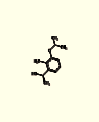 Bc1c(OC(C)C)cccc1[C@@H](C)O